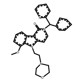 COc1cccc2c3c(=O)n(C(c4ccccc4)c4ccccn4)ccc3n(CCN3CCOCC3)c12